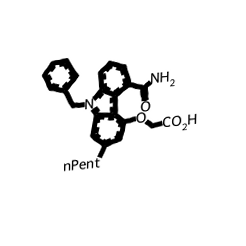 CCCCCc1cc(OCC(=O)O)c2c3c(C(N)=O)cccc3n(Cc3ccccc3)c2c1